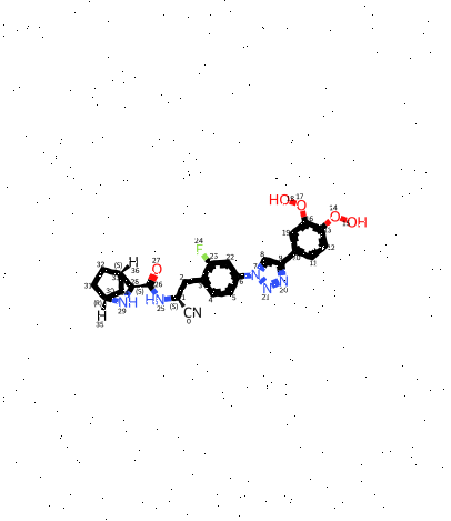 N#C[C@H](Cc1ccc(-n2cc(-c3ccc(OO)c(OO)c3)nn2)cc1F)NC(=O)[C@H]1N[C@@H]2CC[C@H]1C2